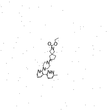 CCOC(=O)N1CC2(CC[C@@H](N3CCN(c4ncccc4-c4ccc(C)nn4)CC3)C2)C1